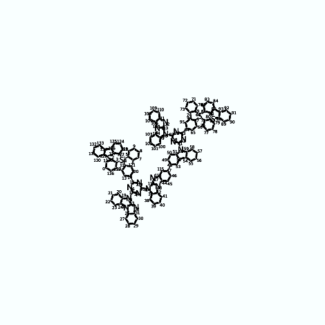 c1ccc([Si](c2ccccc2)(c2ccc(-c3nc(-n4c5ccccc5n5c6ccccc6nc45)nc(-n4c5ccccc5n5c6ccc(-c7ccc8c(c7)c7ccccc7n8-c7nc(-c8ccc(S(c9ccccc9)(c9ccccc9)c9cccc%10c9sc9ccccc9%10)cc8)nc(-n8c9ccccc9n9c%10ccccc%10nc89)n7)cc6nc45)n3)cc2)c2cccc3c2sc2ccccc23)cc1